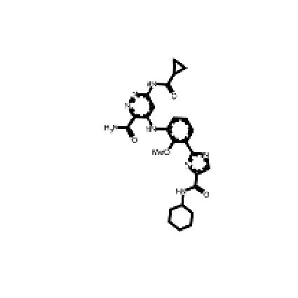 COc1c(Nc2cc(NC(=O)C3CC3)nnc2C(N)=O)cccc1-c1ncc(C(=O)NC2CCCCC2)s1